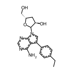 CCc1ccc(-c2cn(C3O[C@H](CO)C[C@H]3O)c3ncnc(N)c23)cc1